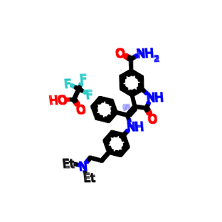 CCN(CC)CCc1ccc(N/C(=C2\C(=O)Nc3cc(C(N)=O)ccc32)c2ccccc2)cc1.O=C(O)C(F)(F)F